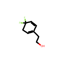 OCCC1=CCC(F)(F)C=C1